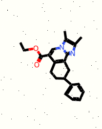 CCOC(=O)c1cn2c(C)c(C)nc2c2c1CCC(c1ccccc1)C2